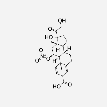 C[C@]12C=CC(C(=O)O)C=C1CC[C@@H]1[C@@H]2[C@@H](O[N+](=O)[O-])C[C@@]2(C)[C@H]1CC[C@]2(O)C(=O)CO